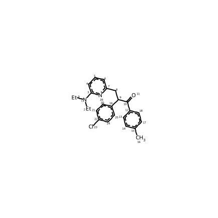 CCN(CC)c1cccc(CC(C(=O)c2ccc(C)cc2)c2ccc(Cl)cc2)n1